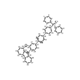 S=P(c1ccccc1)(c1ccccc1)c1ccc(-c2cnc(-c3ccc4c(c3)Oc3cccc5c6ccccc6n-4c35)nc2)cc1